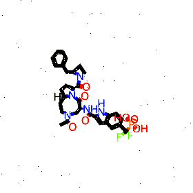 CC(=O)N1CC[C@H]2CC[C@@H](C(=O)N3CCC3Cc3ccccc3)N2C(=O)[C@@H](NC(=O)c2cc3cc(C(F)(F)P(=O)(O)O)ccc3[nH]2)C1